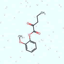 CCCC(=O)C(=O)Oc1ccccc1OC